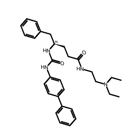 CCN(CC)CCNC(=O)CC[C@H](Cc1ccccc1)NC(=O)Nc1ccc(-c2ccccc2)cc1